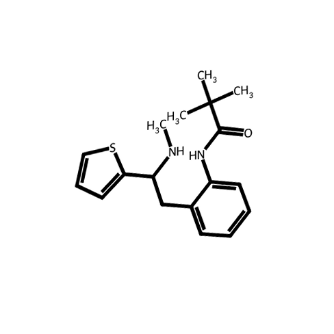 CNC(Cc1ccccc1NC(=O)C(C)(C)C)c1cccs1